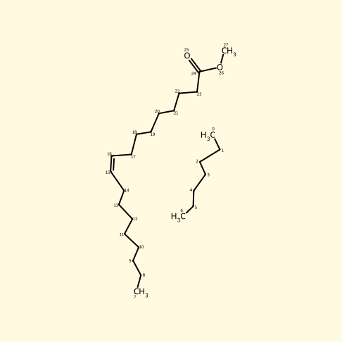 CCCCCCC.CCCCCCCC/C=C\CCCCCCCC(=O)OC